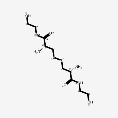 N[C@@H](CSSC[C@H](N)C(=O)NCCO)C(=O)NCCO